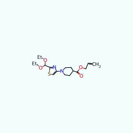 C=CCOC(=O)C1CCN(c2csc(C(OCC)OCC)n2)CC1